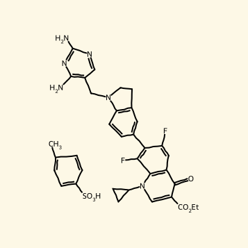 CCOC(=O)c1cn(C2CC2)c2c(F)c(-c3ccc4c(c3)CCN4Cc3cnc(N)nc3N)c(F)cc2c1=O.Cc1ccc(S(=O)(=O)O)cc1